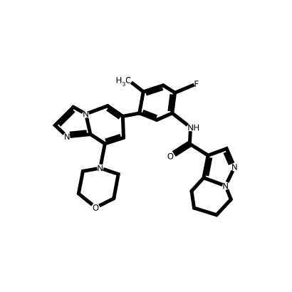 Cc1cc(F)c(NC(=O)c2cnn3c2CCCC3)cc1-c1cc(N2CCOCC2)c2nccn2c1